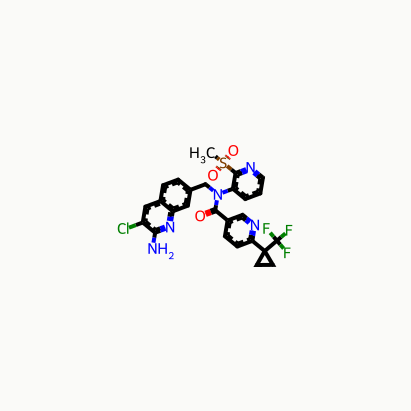 CS(=O)(=O)c1ncccc1N(Cc1ccc2cc(Cl)c(N)nc2c1)C(=O)c1ccc(C2(C(F)(F)F)CC2)nc1